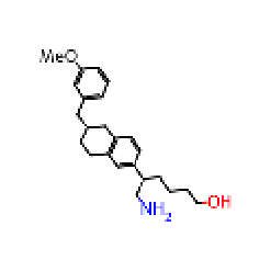 COc1cccc(C[C@@H]2CCc3cc([C@H](CN)CCCCO)ccc3C2)c1